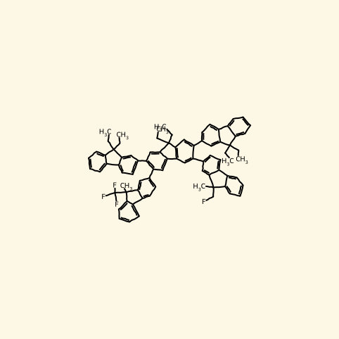 CCC1(CC)c2ccccc2-c2ccc(-c3cc4c(cc3-c3ccc5c(c3)C(C)(CF)c3ccccc3-5)-c3cc(-c5ccc6c(c5)C(C)(C(F)(F)F)c5ccccc5-6)c(-c5ccc6c(c5)C(CC)(CC)c5ccccc5-6)cc3C4(CC)CC)cc21